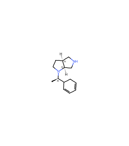 C[C@H](C1C=CC=CC1)N1CC[C@H]2CNC[C@H]21